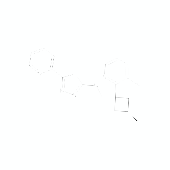 C[C@H]1C[C@@](CNc2nnc(-c3ccccn3)s2)(c2ncccc2F)C1